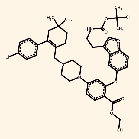 CCOC(=O)c1ccc(N2CCN(CC3=C(c4ccc(Cl)cc4)CC(C)(C)CC3)CC2)cc1Oc1ccc2[nH]cc(CCNC(=O)OC(C)(C)C)c2c1